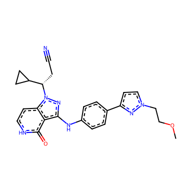 COCCn1ccc(-c2ccc(Nc3nn([C@@H](CC#N)C4CC4)c4cc[nH]c(=O)c34)cc2)n1